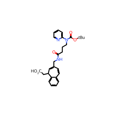 CC(C)(C)OC(=O)N(CCCC(=O)NCC1=CC(CC(=O)O)c2ccccc2C=C1)c1ccccn1